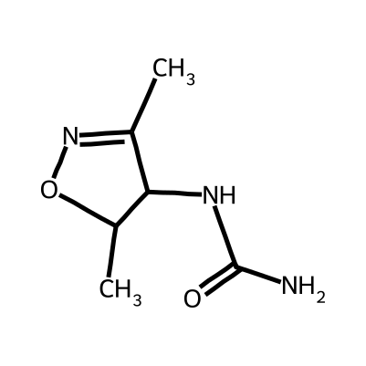 CC1=NOC(C)C1NC(N)=O